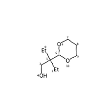 CCC(CC)(CO)C1OCCCO1